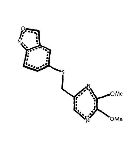 COc1ncc(CSc2ccc3nocc3c2)nc1OC